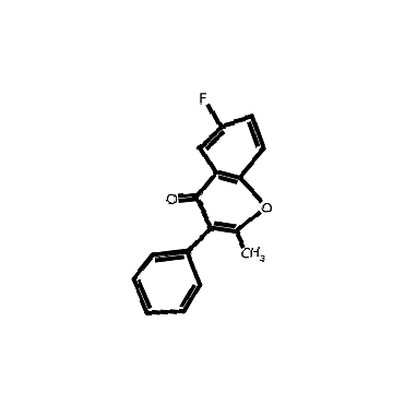 Cc1oc2ccc(F)cc2c(=O)c1-c1ccccc1